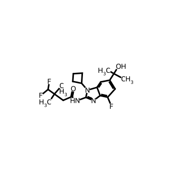 CC(C)(O)c1cc(F)c2nc(NC(=O)CC(C)(C)C(F)F)n(C3CCC3)c2c1